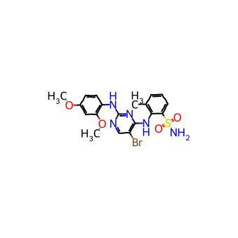 COc1ccc(Nc2ncc(Br)c(Nc3c(C)cccc3S(N)(=O)=O)n2)c(OC)c1